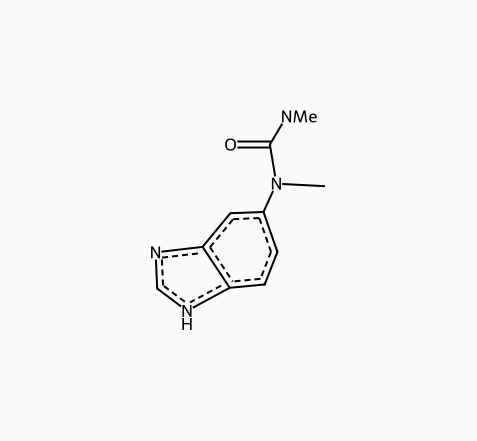 CNC(=O)N(C)c1ccc2[nH]cnc2c1